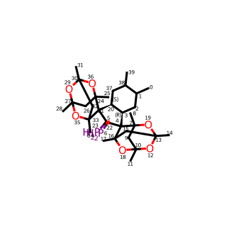 CC1C[C@@H](C2(CP)C3(C)CC4(C)OC(C)(CC2(C)O4)O3)[C@@H](C2(CP)C3(C)CC4(C)OC(C)(CC2(C)O4)O3)CC1C